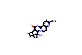 CC(C)(C)c1ccc2c(ccn3c4c(c(=O)nc23)C2CCC2(C)C4(C)N)n1